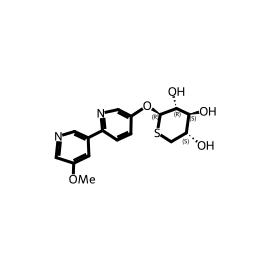 COc1cncc(-c2ccc(O[C@@H]3SC[C@@H](O)[C@H](O)[C@H]3O)cn2)c1